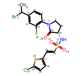 CC(Br)c1ccc(N2CC[C@H](NS(=O)(=O)C=Cc3ccc(Cl)s3)C2=O)c(F)c1